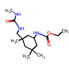 CCOC(=O)NC1CC(C)(C)CC(C)(CNC(=O)NC)C1